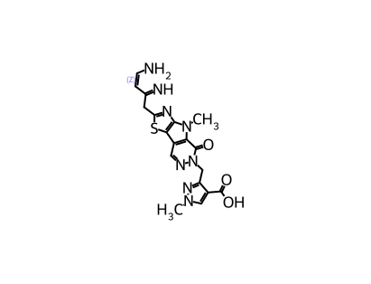 Cn1cc(C(=O)O)c(Cn2ncc3c4sc(CC(=N)/C=C\N)nc4n(C)c3c2=O)n1